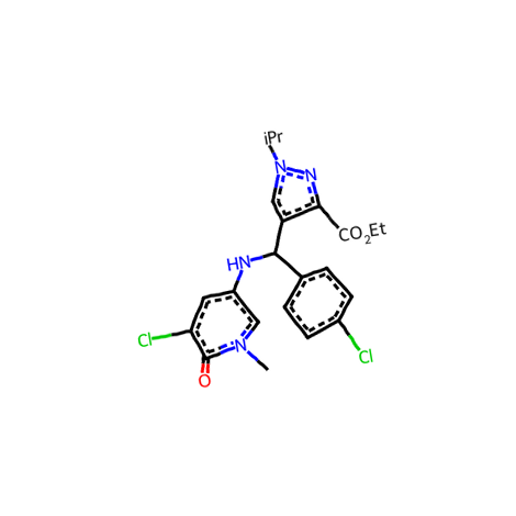 CCOC(=O)c1nn(C(C)C)cc1C(Nc1cc(Cl)c(=O)n(C)c1)c1ccc(Cl)cc1